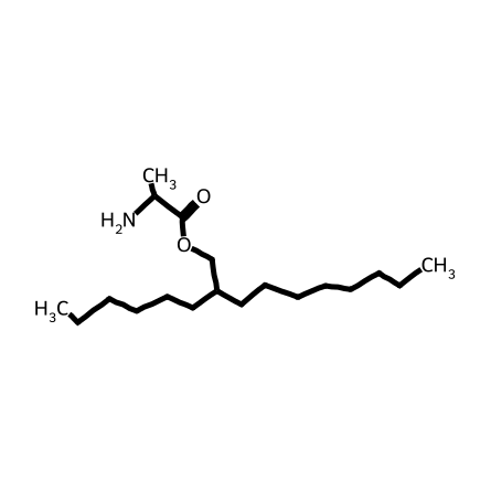 CCCCCCCCC(CCCCCC)COC(=O)C(C)N